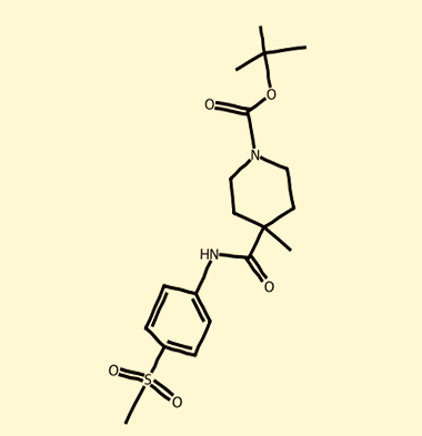 CC(C)(C)OC(=O)N1CCC(C)(C(=O)Nc2ccc(S(C)(=O)=O)cc2)CC1